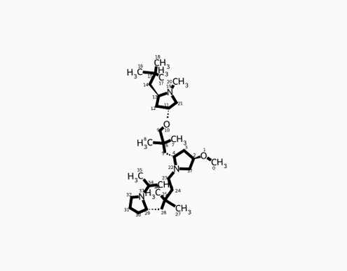 CO[C@@H]1C[C@@H](CC(C)(C)CO[C@@H]2C[C@@H](CC(C)(C)C)N(C)C2)N(CCC(C)(C)C[C@@H]2CCCN2C(C)C)C1